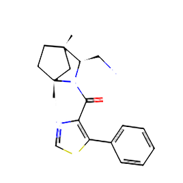 NC[C@@H]1[C@H]2CC[C@H](C2)N1C(=O)c1ncsc1-c1ccccc1